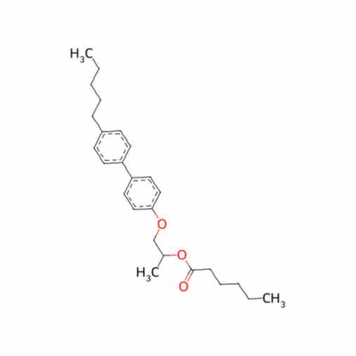 CCCCCC(=O)OC(C)COc1ccc(-c2ccc(CCCCC)cc2)cc1